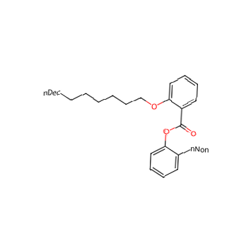 CCCCCCCCCCCCCCCCOc1ccccc1C(=O)Oc1ccccc1CCCCCCCCC